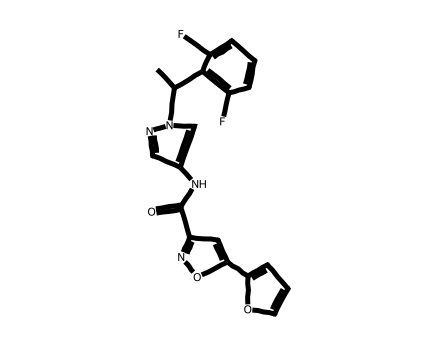 CC(c1c(F)cccc1F)n1cc(NC(=O)c2cc(-c3ccco3)on2)cn1